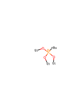 CCCC[PH](OCC)(OCC)OCC